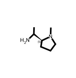 CC(N)[C@@H]1CCCN1C